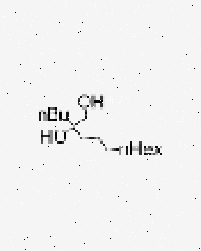 CCCCCCCCCC(O)(CO)CCCC